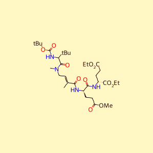 CCOC(=O)CC[C@@H](NC(=O)[C@@H](CCC(=O)OC)NC(=O)/C(C)=C/CN(C)C(=O)C(NC(=O)OC(C)(C)C)C(C)(C)C)C(=O)OCC